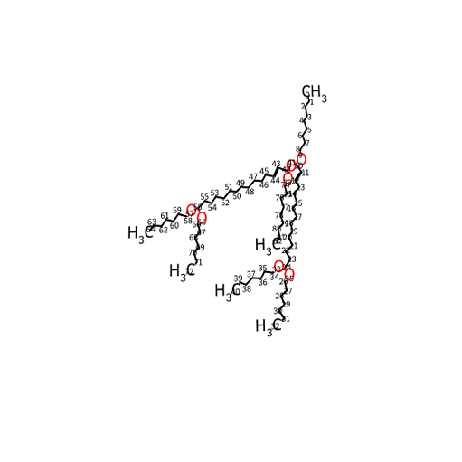 CCCCCCCCCOC(C=CCCCCCCCCCCCC(OCCCCCCC)OCCCCCCC)OC(C=CCCCCCCCCCCCC(OCCCCCCC)OCCCCCCC)OCCCCCCCCC